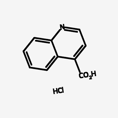 Cl.O=C(O)c1ccnc2ccccc12